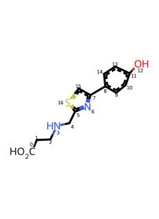 O=C(O)CCNCc1nc(-c2ccc(O)cc2)cs1